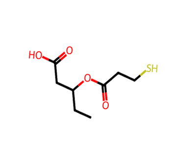 CCC(CC(=O)O)OC(=O)CCS